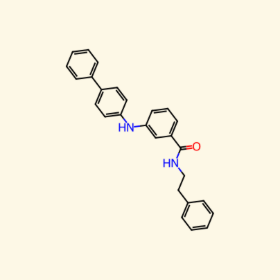 O=C(NCCc1ccccc1)c1cccc(Nc2ccc(-c3ccccc3)cc2)c1